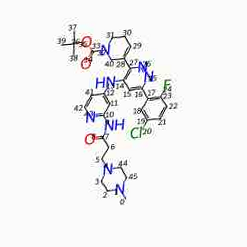 CN1CCN(CCC(=O)Nc2cc(Nc3cc(-c4cc(Cl)ccc4F)nnc3C3=CCCN(C(=O)OC(C)(C)C)C3)ccn2)CC1